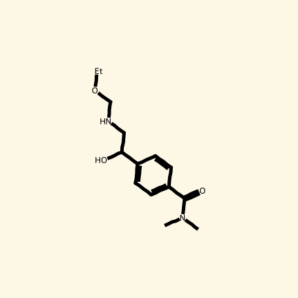 CCOCNCC(O)c1ccc(C(=O)N(C)C)cc1